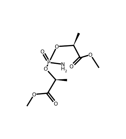 COC(=O)[C@H](C)OP(N)(=O)O[C@@H](C)C(=O)OC